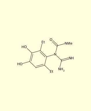 CCc1cc(O)c(O)c(CC)c1N(C(=N)N)C(=O)NC